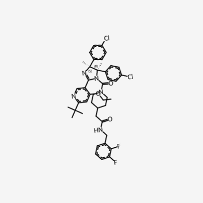 CCOc1cc(C(C)(C)C)ncc1C1=N[C@@](C)(c2ccc(Cl)cc2)[C@@](C)(c2ccc(Cl)cc2)N1C(=O)N1CCC(CC(=O)NCc2cccc(F)c2F)CC1